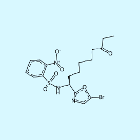 CCC(=O)CCCCC[C@H](NS(=O)(=O)c1ccccc1[N+](=O)[O-])c1ncc(Br)o1